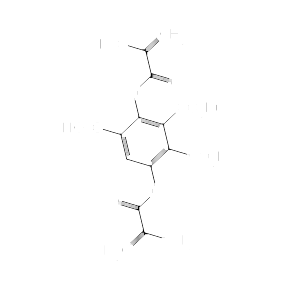 C=C(C)C(=O)Oc1cc(C(=O)O)c(OC(=O)C(=C)C)c(C(=O)OCC)c1C(=O)O